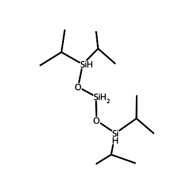 CC(C)[SiH](O[SiH2]O[SiH](C(C)C)C(C)C)C(C)C